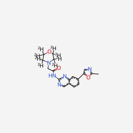 [2H]C1([2H])OC([2H])([2H])C([2H])([2H])N(CC(=O)Nc2ncc3ccc(-c4cnc(C)o4)cc3n2)C1([2H])[2H]